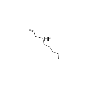 C=CCCCCCCC.F